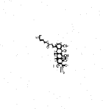 CN(C)CCCOC(=O)CCc1ccc(O)c2c1C[C@H]1C[C@H]3CC(O)=C(C(N)=O)C(=O)[C@@]3(O)C(O)=C1C2=O